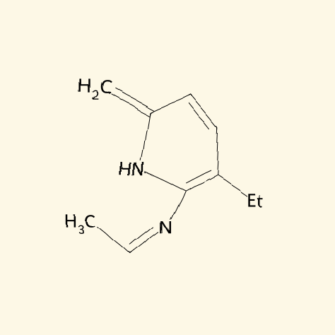 C=C1C=CC(CC)=C(/N=C\C)N1